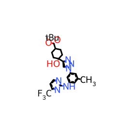 Cc1cc(Nc2nccc(C(F)(F)F)n2)cc(-n2cc(C3(O)CCC(C(=O)OC(C)(C)C)CC3)nn2)c1